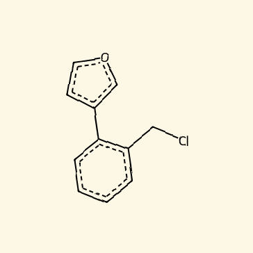 ClCc1ccccc1-c1ccoc1